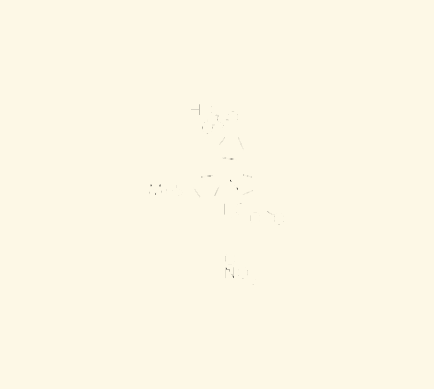 CSc1ccc(-n2c(-c3ccc(S(C)(=O)=O)cc3)cc(CC(=O)OCCCO[N+](=O)[O-])c2C)cc1